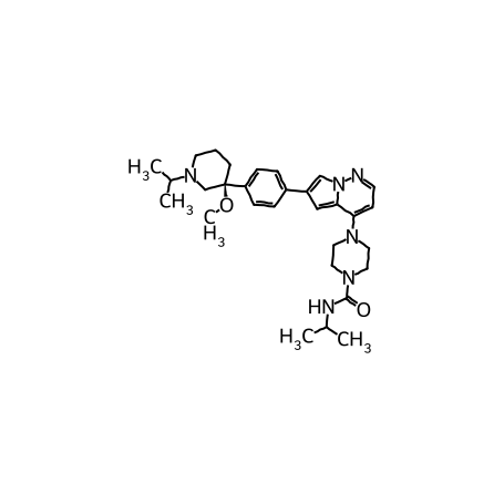 CO[C@]1(c2ccc(-c3cc4c(N5CCN(C(=O)NC(C)C)CC5)ccnn4c3)cc2)CCCN(C(C)C)C1